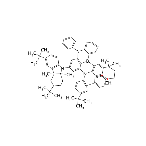 CC1CCC(C)(C)c2cc3c(cc21)N(c1ccc(C(C)(C)C)cc1C1=CC=C=C=C1)c1cc(N2c4ccc(C(C)(C)C)cc4C4(C)CC(C(C)(C)C)CCC24C)cc2c1B3c1ccccc1N2c1ccccc1